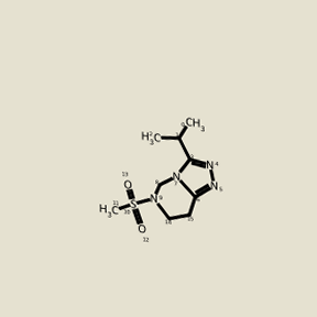 CC(C)c1nnc2n1CN(S(C)(=O)=O)CC2